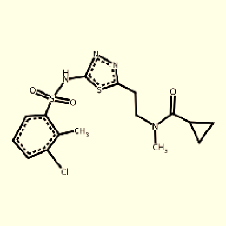 Cc1c(Cl)cccc1S(=O)(=O)Nc1nnc(CCN(C)C(=O)C2CC2)s1